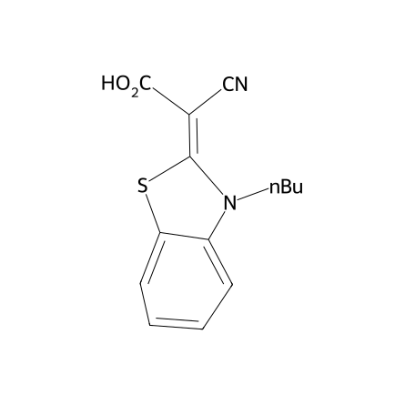 CCCCN1/C(=C(\C#N)C(=O)O)Sc2ccccc21